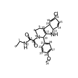 CCNC(=O)C(=O)N1CCC2=C(NC3C=CC(Cl)=CC23)C1c1ccc(OC)cc1